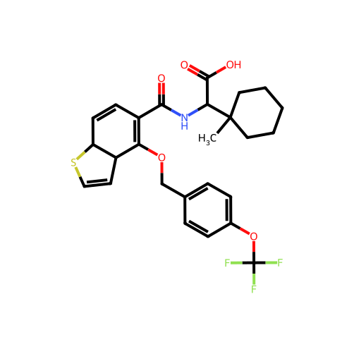 CC1(C(NC(=O)C2=C(OCc3ccc(OC(F)(F)F)cc3)C3C=CSC3C=C2)C(=O)O)CCCCC1